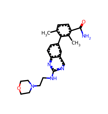 Cc1ccc(C(N)=O)c(C)c1-c1ccc2nc(NCCN3CCOCC3)ncc2c1